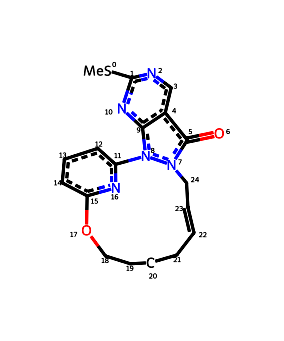 CSc1ncc2c(=O)n3n(c2n1)-c1cccc(n1)OCCCC/C=C/C3